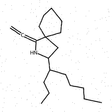 C=C=C1NC(C(CCC)CCCCC)CC12CCCCC2